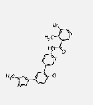 Cc1c(Br)cncc1C(=O)Nc1ccc(-c2cc(-c3cnn(C)c3)ccc2Cl)cn1